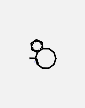 I/C1=C/CCCCCCc2ccccc21